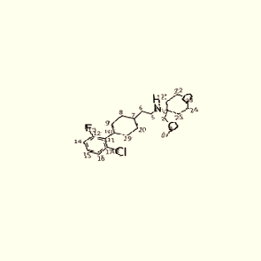 COCC1(NCCC2CCC(c3c(F)cccc3Cl)CC2)CCOCC1